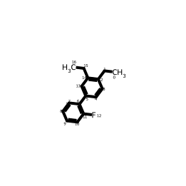 CCc1ccc(-c2[c]cccc2F)cc1CC